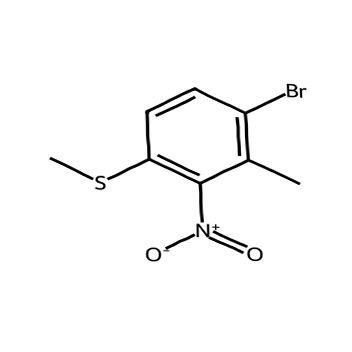 CSc1ccc(Br)c(C)c1[N+](=O)[O-]